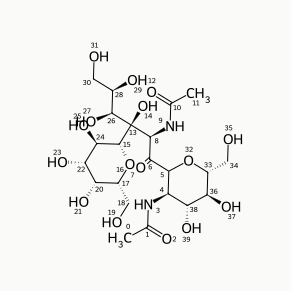 CC(=O)N[C@H]1C(C(=O)[C@H](NC(C)=O)[C@](O)([C@@H]2O[C@H](CO)[C@H](O)[C@H](O)[C@H]2O)[C@@H](O)[C@H](O)CO)O[C@H](CO)[C@@H](O)[C@@H]1O